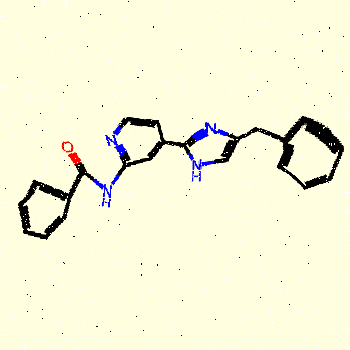 O=C(Nc1cc(-c2nc(Cc3ccccc3)c[nH]2)ccn1)c1ccccc1